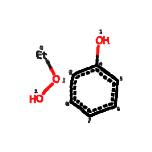 CCOO.Oc1ccccc1